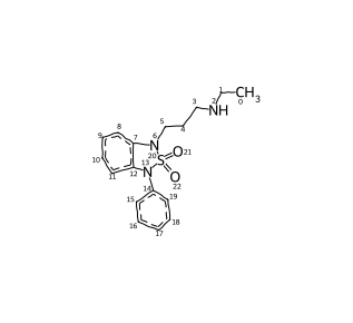 CCNCCCN1c2ccccc2N(c2ccccc2)S1(=O)=O